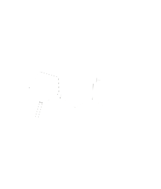 CCC(S)CN1CCCC1=O